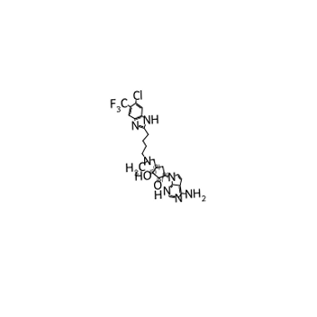 CN(CCCCc1nc2cc(C(F)(F)F)c(Cl)cc2[nH]1)C[C@H]1C[C@@H](n2ccc3c(N)ncnc32)[C@H](O)[C@@H]1O